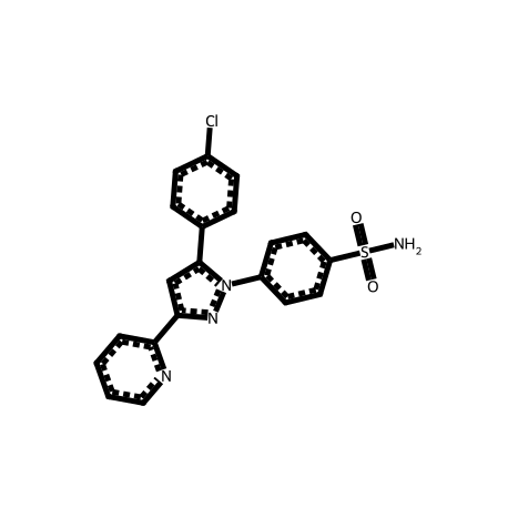 NS(=O)(=O)c1ccc(-n2nc(-c3ccccn3)cc2-c2ccc(Cl)cc2)cc1